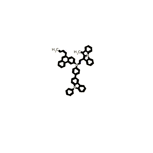 C=C/C=C\c1cc2ccccc2c2cc(N(/C=C/c3c4ccccc4n4c3c(=C)c3ccccc34)c3ccc(-c4ccc5c(c4)c4ccccc4n5-c4ccccc4)cc3)ccc12